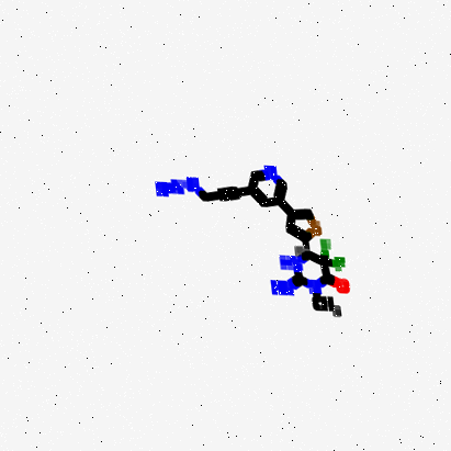 CN1C(=N)N[C@H](c2cc(-c3cncc(C#CCN=[N+]=[N-])c3)cs2)C(F)(F)C1=O